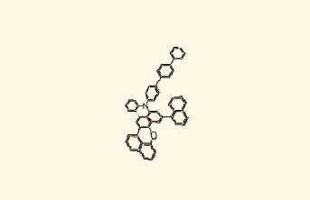 c1ccc(-c2ccc(-c3ccc(N(c4cccc(-c5cccc6ccccc56)c4)c4ccccc4-c4ccc5c(c4)-c4cccc6cccc(c46)O5)cc3)cc2)cc1